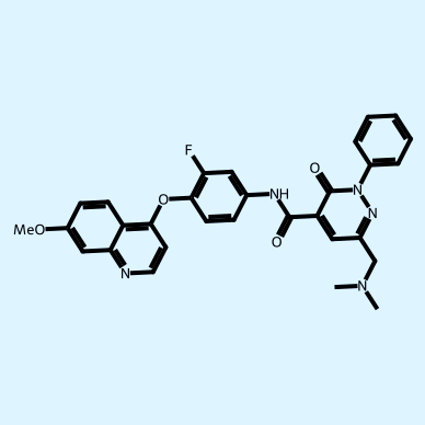 COc1ccc2c(Oc3ccc(NC(=O)c4cc(CN(C)C)nn(-c5ccccc5)c4=O)cc3F)ccnc2c1